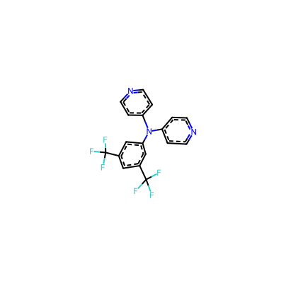 FC(F)(F)c1cc(N(c2ccncc2)c2ccncc2)cc(C(F)(F)F)c1